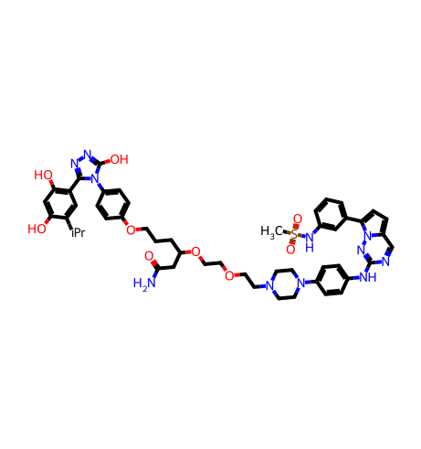 CC(C)c1cc(-c2nnc(O)n2-c2ccc(OCCCC(CC(N)=O)OCCOCCN3CCN(c4ccc(Nc5ncc6ccc(-c7cccc(NS(C)(=O)=O)c7)n6n5)cc4)CC3)cc2)c(O)cc1O